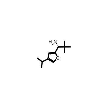 CC(C)c1coc([C@H](N)C(C)(C)C)c1